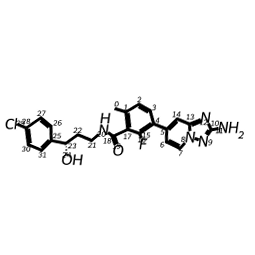 Cc1ccc(-c2ccn3nc(N)nc3c2)c(F)c1C(=O)NCC[C@H](O)c1ccc(Cl)cc1